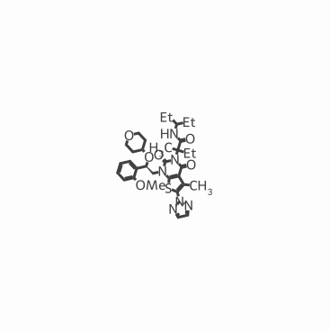 CCC(CC)NC(=O)C(C)(CC)n1c(=O)c2c(C)c(-n3nccn3)sc2n(C[C@H](OC2CCOCC2)c2ccccc2OC)c1=O